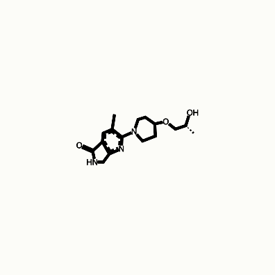 Cc1cc2c(nc1N1CCC(OC[C@@H](C)O)CC1)CNC2=O